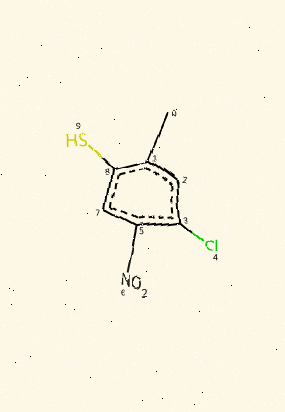 Cc1cc(Cl)c([N+](=O)[O-])cc1S